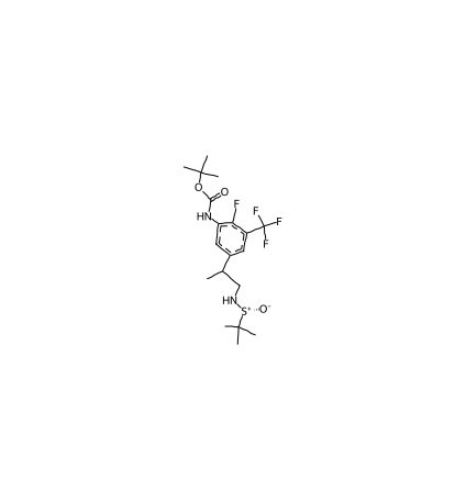 CC(CN[S@+]([O-])C(C)(C)C)c1cc(NC(=O)OC(C)(C)C)c(F)c(C(F)(F)F)c1